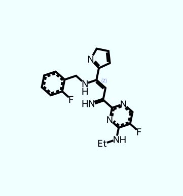 CCNc1nc(C(=N)/C=C(\NCc2ccccc2F)C2=NCC=C2)ncc1F